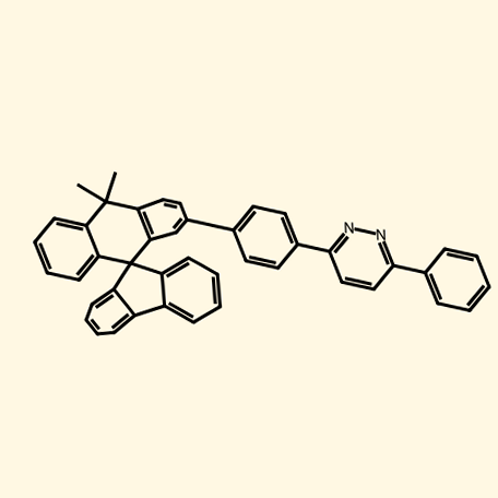 CC1(C)c2ccccc2C2(c3ccccc3-c3ccccc32)c2cc(-c3ccc(-c4ccc(-c5ccccc5)nn4)cc3)ccc21